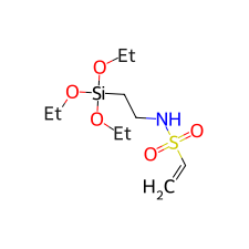 C=CS(=O)(=O)NCC[Si](OCC)(OCC)OCC